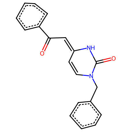 O=C(/C=C1\C=CN(Cc2ccccc2)C(=O)N1)c1ccccc1